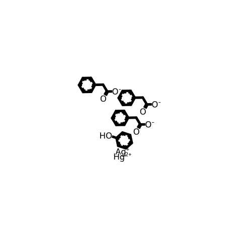 O=C([O-])Cc1ccccc1.O=C([O-])Cc1ccccc1.O=C([O-])Cc1ccccc1.Oc1ccccc1.[Ag+].[Hg+2]